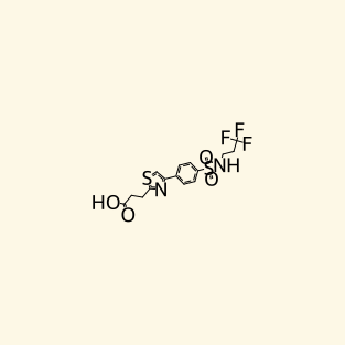 O=C(O)CCc1nc(-c2ccc(S(=O)(=O)NCCC(F)(F)F)cc2)cs1